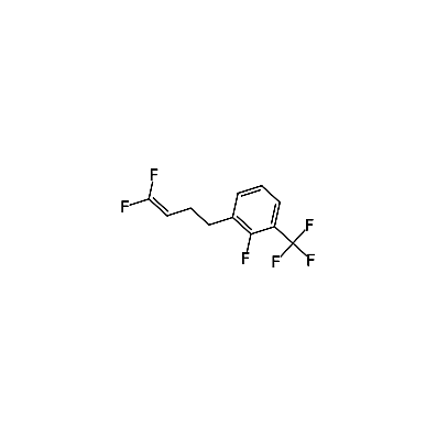 FC(F)=CCCc1cccc(C(F)(F)F)c1F